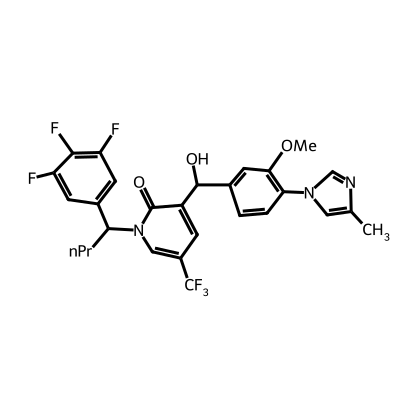 CCCC(c1cc(F)c(F)c(F)c1)n1cc(C(F)(F)F)cc(C(O)c2ccc(-n3cnc(C)c3)c(OC)c2)c1=O